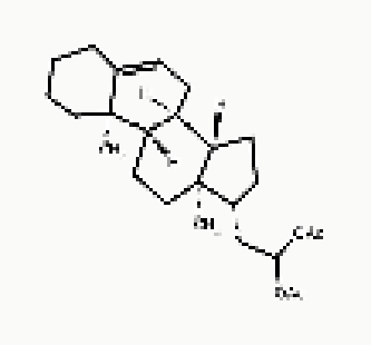 CC(=O)OC(C[C@H]1CC[C@H]2[C@@H]3CC=C4CCCC[C@]4(C)[C@H]3CC[C@]12C)OC(C)=O